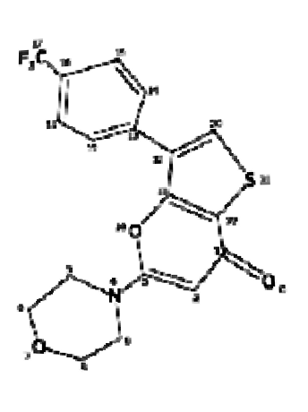 O=c1cc(N2CCOCC2)oc2c(-c3ccc(C(F)(F)F)cc3)csc12